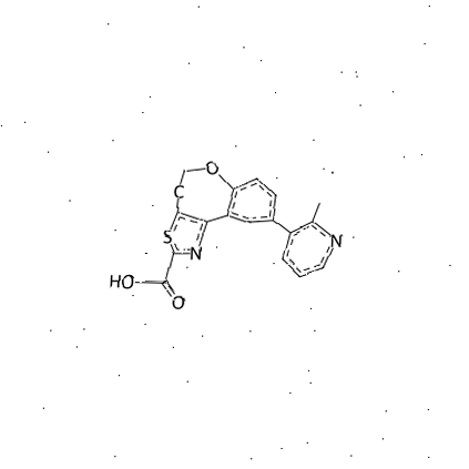 Cc1ncccc1-c1ccc2c(c1)-c1nc(C(=O)O)sc1CCO2